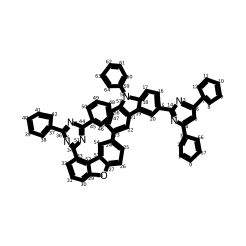 c1ccc(-c2cc(-c3ccccc3)nc(-c3ccc4c(c3)c3cc(-c5ccc6oc7cccc(-c8nc(-c9ccccc9)nc(-c9ccccc9)n8)c7c6c5)ccc3n4-c3ccccc3)n2)cc1